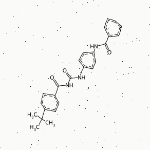 CC(C)(C)c1ccc(C(=O)NC(=O)Nc2ccc(NC(=O)c3ccccc3)cc2)cc1